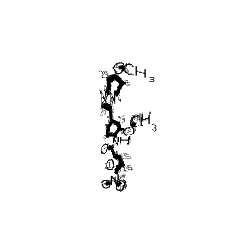 COc1ccn2c(-c3ccc(NC(=O)c4ccc([N+](=O)[O-])o4)c(OC)c3)cnc2c1